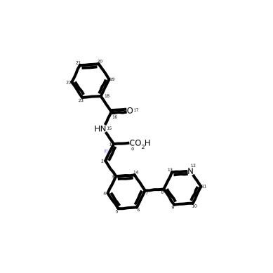 O=C(O)/C(=C\c1cccc(-c2cccnc2)c1)NC(=O)c1ccccc1